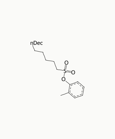 CCCCCCCCCCCCCCCS(=O)(=O)Oc1ccccc1C